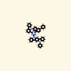 c1ccc(-c2ccc(-c3nc(-c4cccc5c6ccccc6n(-c6ccccc6)c45)nc(-n4c5ccccc5c5cc6c(cc54)c4ccccc4n6-c4ccccc4)n3)cc2)cc1